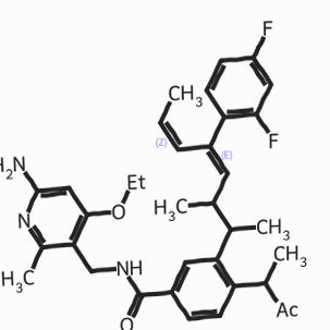 C/C=C\C(=C/C(C)C(C)c1cc(C(=O)NCc2c(OCC)cc(N)nc2C)ccc1C(C)C(C)=O)c1ccc(F)cc1F